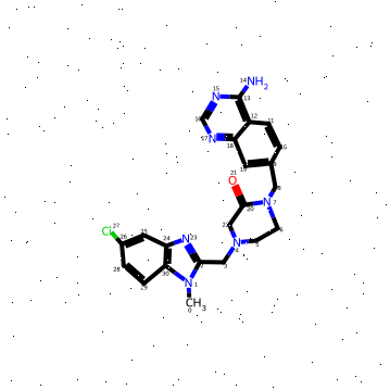 Cn1c(CN2CCN(Cc3ccc4c(N)ncnc4c3)C(=O)C2)nc2cc(Cl)ccc21